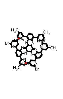 Cc1cc(Br)nc(-c2ccc(-c3cc(C)cc(Br)n3)c3nc4c(nc23)c2nc3c(-c5cc(C)cc(Br)n5)ccc(-c5cc(C)cc(Br)n5)c3nc2c2nc3c(-c5cc(C)cc(Br)n5)ccc(-c5cc(C)cc(Br)n5)c3nc42)c1